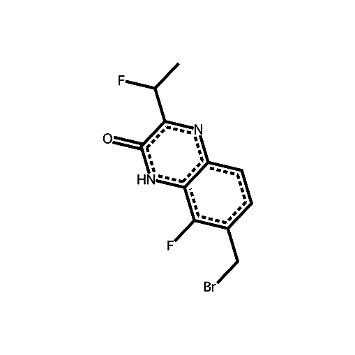 CC(F)c1nc2ccc(CBr)c(F)c2[nH]c1=O